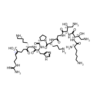 N=C(N)NCC/C=C(\CCC(=O)[C@H](CCCCN)NC(=O)[C@H](Cc1cnc[nH]1)NC(=O)[C@@H]1CCCN1C(=O)[C@@H](CCCN)NC(=O)CNC(=O)[C@@H](NC(=O)[C@@H](NC(=O)[C@@H](N)CCCCN)[C@@H](O)CN)[C@@H](O)CN)C(=O)O